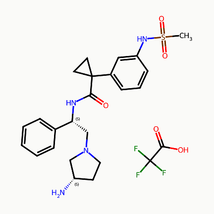 CS(=O)(=O)Nc1cccc(C2(C(=O)N[C@H](CN3CC[C@H](N)C3)c3ccccc3)CC2)c1.O=C(O)C(F)(F)F